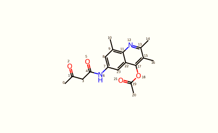 CC(=O)CC(=O)Nc1cc(C)c2nc(C)c(C)c(OC(C)=O)c2c1